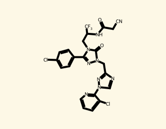 N#CCC(=O)NC(Cn1c(-c2ccc(Cl)cc2)nn(Cc2ncn(-c3ncccc3Cl)n2)c1=O)C(F)(F)F